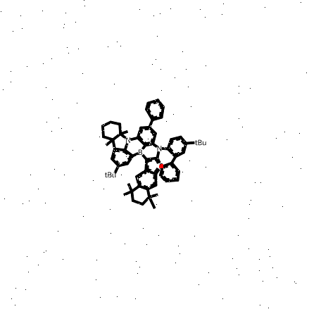 CC(C)(C)c1ccc(N2c3cc(-c4ccccc4)cc4c3B(c3cc(C(C)(C)C)cc5c3N4C3(C)CCCCC53C)c3c2sc2cc4c(cc32)C(C)(C)CCC4(C)C)c(-c2ccccc2)c1